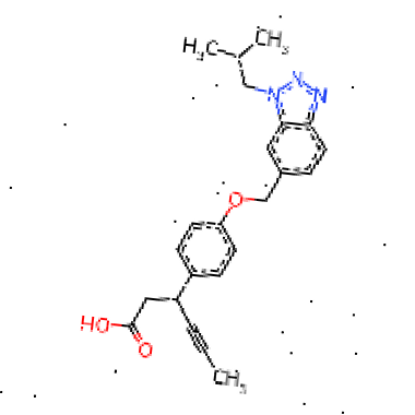 CC#CC(CC(=O)O)c1ccc(OCc2ccc3nnn(CC(C)C)c3c2)cc1